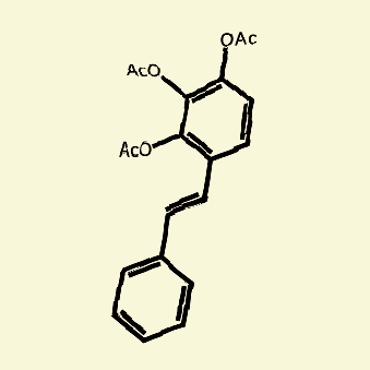 CC(=O)Oc1ccc(C=Cc2ccccc2)c(OC(C)=O)c1OC(C)=O